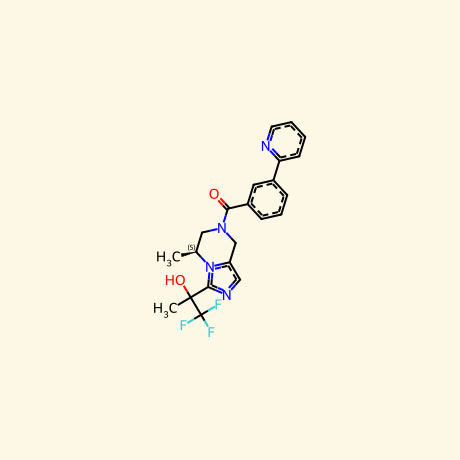 C[C@H]1CN(C(=O)c2cccc(-c3ccccn3)c2)Cc2cnc(C(C)(O)C(F)(F)F)n21